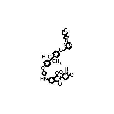 CC(C)(c1ccc(OCc2ccnc(N3CC4(CCOC4)C3)n2)cc1)c1ccc(O[C@H]2C[C@@H](Nc3ccc4c(c3)C(=O)N(C3CCC(=O)NC3=O)C4=O)C2)cc1